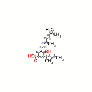 C/C=C/CC(C)c1cc(C(=O)O)cc(CC/C=C(\C)CCC=C(C)C)c1O